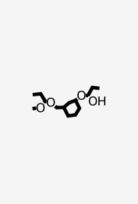 CCC(O)OC1CCCC(COC(CC)OC)C1